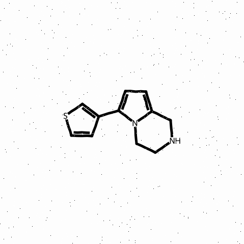 c1cc(-c2ccc3n2CCNC3)cs1